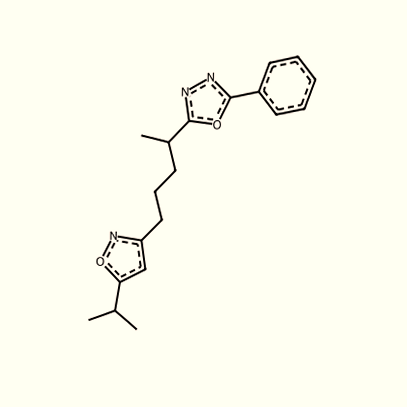 CC(C)c1cc(CCCC(C)c2nnc(-c3ccccc3)o2)no1